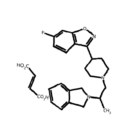 CC(CN1CCC(c2noc3cc(F)ccc23)CC1)N1Cc2ccccc2C1.O=C(O)C=CC(=O)O